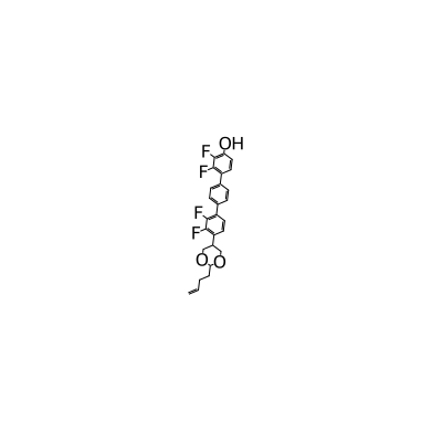 C=CCCC1OCC(c2ccc(-c3ccc(-c4ccc(O)c(F)c4F)cc3)c(F)c2F)CO1